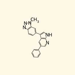 Cn1nnc2ccc(-c3c[nH]c4ncc(-c5ccccc5)cc34)cc21